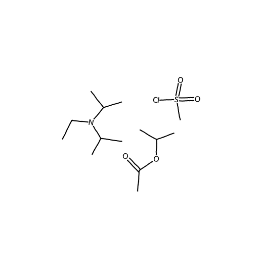 CC(=O)OC(C)C.CCN(C(C)C)C(C)C.CS(=O)(=O)Cl